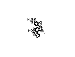 CC1=C(c2ccn[nH]2)C(C)(S(=O)(=O)O)C=CC1(C(=O)c1ccc(S(C)(=O)=O)cc1Cl)[N+](=O)[O-]